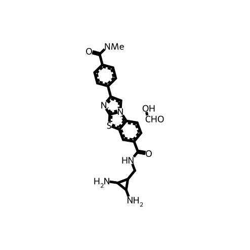 CNC(=O)c1ccc(-c2cn3c(n2)sc2cc(C(=O)NCC4C(N)C4N)ccc23)cc1.O=CO